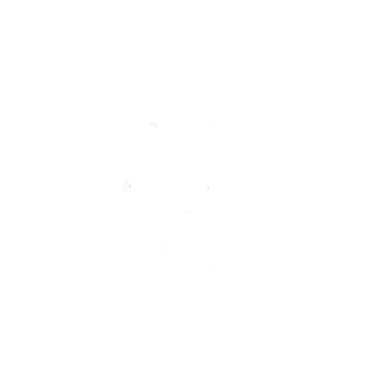 Nc1ccc(S(=O)(=O)[O-])c2ccccc12.[Na+]